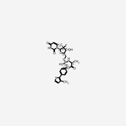 COC(=O)[C@H](C)N[PH](O)(OC[C@H]1O[C@@H](n2ccc(=O)[nH]c2=O)[C@](C)(F)[C@@H]1O)Oc1ccc(-c2sccc2C)cc1